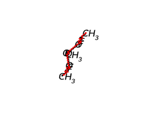 CCCCCC1CCC(c2ccc(OCCCCCCCCCCCP(=O)(CCCCCCCCCCCOc3ccc(C4CCC(CCCCC)CC4)c(F)c3F)OC)c(F)c2F)CC1